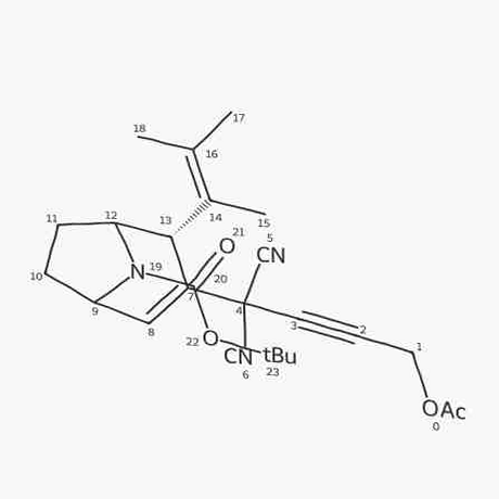 CC(=O)OCC#CC(C#N)(C#N)C1=CC2CCC([C@@H]1C(C)=C(C)C)N2C(=O)OC(C)(C)C